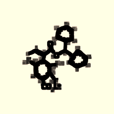 C/C=C(/C(=O)OC(c1ccccc1)c1ccccc1)c1c(F)cc(C(=O)OCC)c(F)c1F